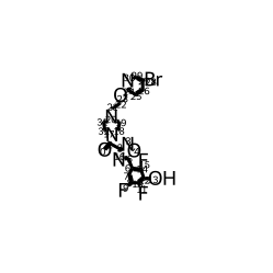 O=C(c1noc(-c2cc(F)c(F)c(O)c2F)n1)N1CCN(CCOc2ccc(Br)cn2)CC1